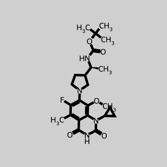 COc1c(N2CCC([C@H](C)NC(=O)OC(C)(C)C)C2)c(F)c(C)c2c(=O)[nH]c(=O)n(C3CC3)c12